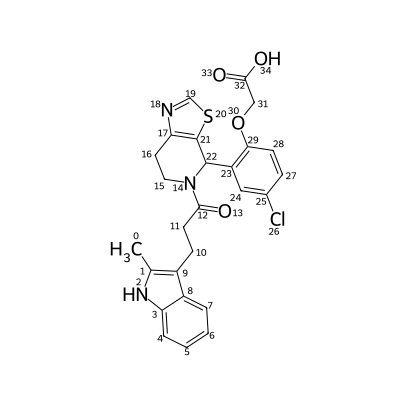 Cc1[nH]c2ccccc2c1CCC(=O)N1CCc2ncsc2C1c1cc(Cl)ccc1OCC(=O)O